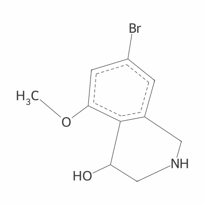 COc1cc(Br)cc2c1C(O)CNC2